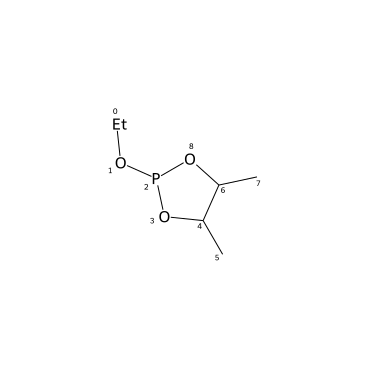 CCOP1OC(C)C(C)O1